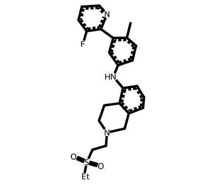 CCS(=O)(=O)CCN1CCc2c(cccc2Nc2ccc(C)c(-c3ncccc3F)c2)C1